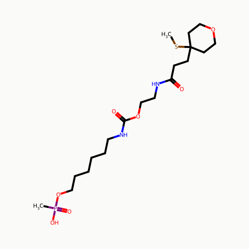 CSC1(CCC(=O)NCCOC(=O)NCCCCCCOP(C)(=O)O)CCOCC1